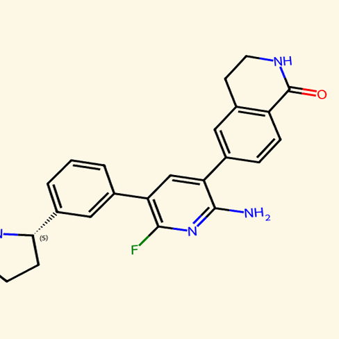 Nc1nc(F)c(-c2cccc([C@@H]3CCCN3)c2)cc1-c1ccc2c(c1)CCNC2=O